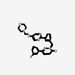 O=c1ccc(-c2cccc(F)c2)nn1Cc1cccc(-c2ncc(OCCN3CCOCC3)cn2)c1